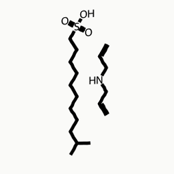 C=CCNCC=C.CC(C)CCCCCCCCCS(=O)(=O)O